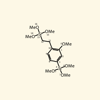 COc1cc([Si](OC)(OC)OC)ccc1CC[Si](OC)(OC)OC